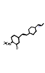 C/C=C/C1CCC(C=CC2CCC(N=C=S)C(F)C2)CC1